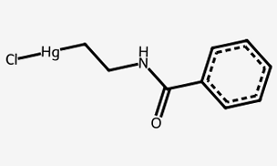 O=C(NC[CH2][Hg][Cl])c1ccccc1